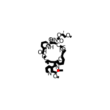 CCn1c(-c2cccnc2[C@H](C)OC)c2c3cc(ccc31)-c1csc(n1)C[C@H](NC(=O)O[C@H](C)COC)C(=O)N1CCC[C@H](N1)C(=O)OCC(C)(C)C2